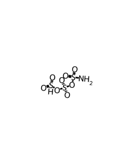 NS(=O)(=O)OS(=O)(=O)O[SH](=O)=O